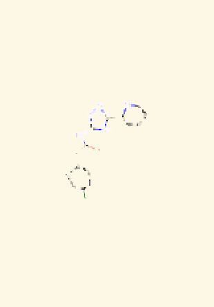 O=C(Cc1ccc(F)cc1)Nc1nnc(-c2ccccn2)[nH]1